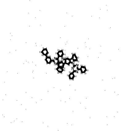 c1ccc(-c2cccc(-c3nc(-c4ccccc4)cc(-c4ccccc4-n4c5ccccc5c5cc6c(cc54)c4ccccc4n6-c4nc(-c5ccccc5)nc(-c5ccccc5)n4)n3)c2)cc1